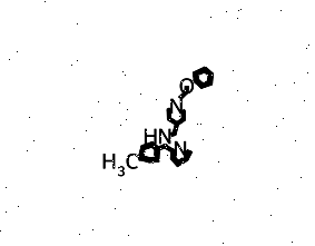 Cc1ccc(C(NCC2CCN(CCOc3ccccc3)CC2)c2ccccn2)cc1